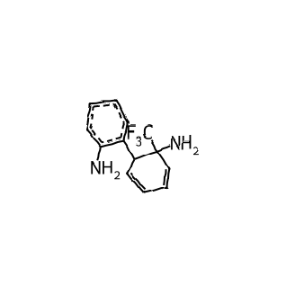 Nc1ccccc1C1C=CC=CC1(N)C(F)(F)F